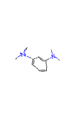 CN(C)c1cccc(N(C)C)c1